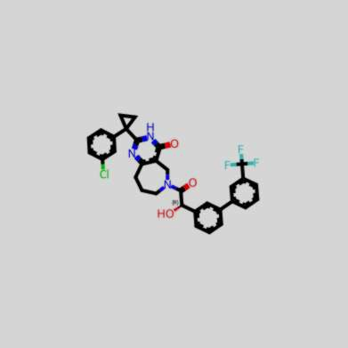 O=C([C@H](O)c1cccc(-c2cccc(C(F)(F)F)c2)c1)N1CCCc2nc(C3(c4cccc(Cl)c4)CC3)[nH]c(=O)c2C1